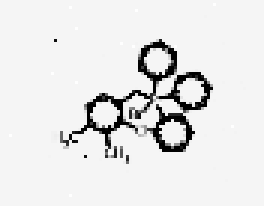 Cc1ccc(CP(Br)(c2ccccc2)(c2ccccc2)c2ccccc2)c(C)c1C